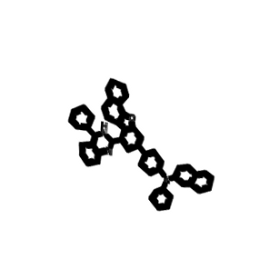 c1ccc(C2=c3ccccc3=NC(c3cc(-c4ccc(N(c5ccccc5)c5ccc6ccccc6c5)cc4)cc4oc5c6ccccc6ccc5c34)N2)cc1